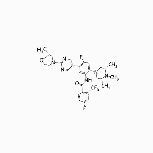 C[C@@H]1CN(c2ncc(-c3cc(NC(=O)c4ccc(F)cc4C(F)(F)F)c(N4C[C@@H](C)N(C)[C@@H](C)C4)cc3F)cn2)CCO1